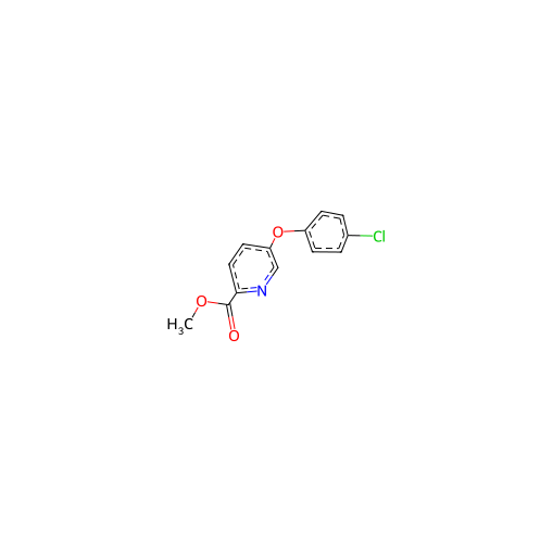 COC(=O)c1ccc(Oc2ccc(Cl)cc2)cn1